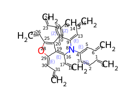 C=C/C=C\C(=C/C=C)N(C(/C=C\C)=C/C=C)/C(C=C)=c1\c(/C=C\C=C)c(C=C)o\c1=C\C=C